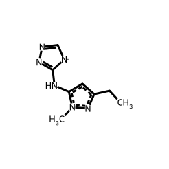 CCc1cc(NC2=NN=C[N]2)n(C)n1